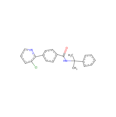 CC(C)(NC(=O)c1ccc(-c2ncccc2Cl)cc1)c1ccccc1